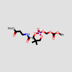 COC(=O)CCNC(=O)[C@@H]1OP(=O)(OCOC(=O)OC(C)C)OCC1(C)C